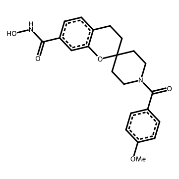 COc1ccc(C(=O)N2CCC3(CCc4ccc(C(=O)NO)cc4O3)CC2)cc1